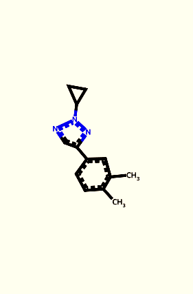 Cc1ccc(-c2cnn(C3CC3)n2)cc1C